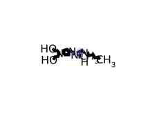 C/C=C(\C=C/NCCCCCC)/N=N/c1ccc(N(CCO)CCO)cc1